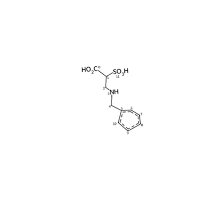 O=C(O)C(CNCc1ccccc1)S(=O)(=O)O